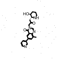 Cc1cc(-c2cccnc2)cc2c(=O)n(CC(=O)C[C@H]3NCCC[C@@H]3O)cnc12